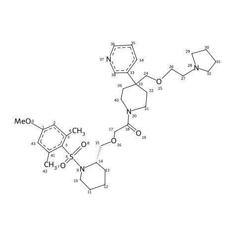 COc1cc(C)c(S(=O)(=O)N2CCCC[C@H]2COCC(=O)N2CCC(COCCN3CCCC3)(c3cccnc3)CC2)c(C)c1